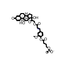 COc1cc(/C=C/C(=O)OCC(=O)[C@@]2(O)CC[C@H]3[C@@H]4CCC5=CC(=O)C=C[C@]5(C)[C@H]4[C@@H](O)C[C@@]32C)ccc1OC(=O)CCCO[N+](=O)[O-]